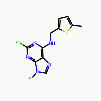 Cc1ccc(CNc2nc(Cl)nc3c2ncn3C(C)C)s1